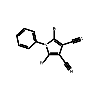 N#Cc1c(C#N)c(Br)n(-c2ccccc2)c1Br